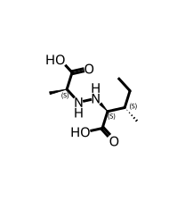 CC[C@H](C)[C@H](NN[C@@H](C)C(=O)O)C(=O)O